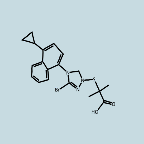 CC(C)(SN1CN(c2ccc(C3CC3)c3ccccc23)C(Br)=N1)C(=O)O